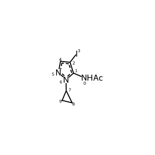 CC(=O)Nc1c(I)cnn1C1CC1